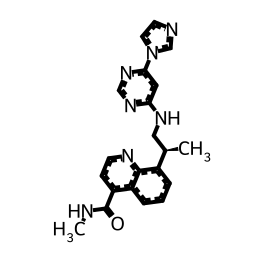 CNC(=O)c1ccnc2c([C@H](C)CNc3cc(-n4ccnc4)ncn3)cccc12